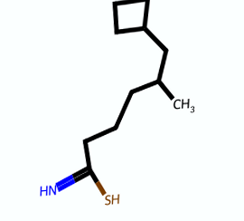 CC(CCCC(=N)S)CC1CCC1